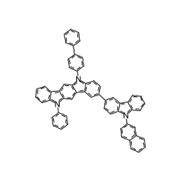 c1ccc(-c2ccc(-n3c4ccc(-c5ccc6c(c5)c5ccccc5n6-c5ccc6ccccc6c5)cc4c4cc5c(cc43)c3ccccc3n5-c3ccccc3)cc2)cc1